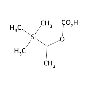 CC(OC(=O)O)[Si](C)(C)C